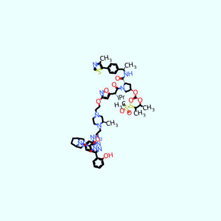 Cc1ncsc1-c1ccc([C@H](C)NC(=O)[C@@H]2C[C@@H](OC(=O)OC(C)C(C)SS(C)(=O)=O)CN2C(=O)[C@@H](c2cc(OCCN3CCN(CCOc4cc(N5C6CCC5CN(c5cc(-c7ccccc7O)nnc5N)C6)ccn4)[C@H](C)C3)no2)C(C)C)cc1